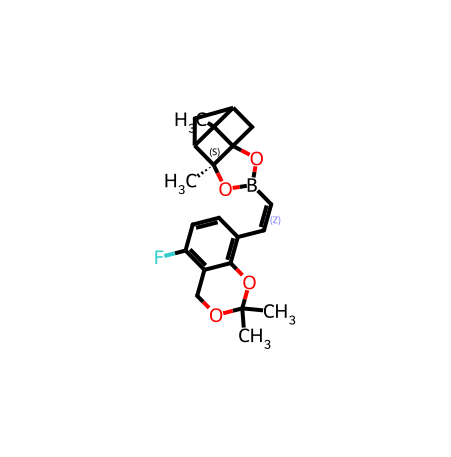 CC1(C)OCc2c(F)ccc(/C=C\B3OC45CC6CC(C64C)[C@]5(C)O3)c2O1